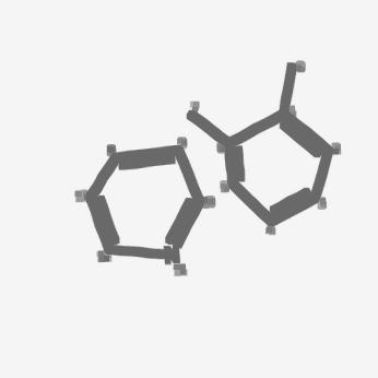 Cc1ccccc1C.c1ccncc1